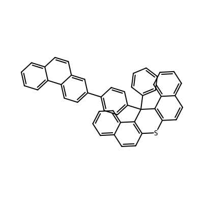 c1ccc(C2(c3ccc(-c4ccc5c(ccc6ccccc65)c4)cc3)c3c(ccc4ccccc34)Sc3ccc4ccccc4c32)cc1